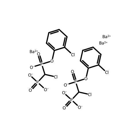 O=P([O-])([O-])C(Cl)P(=O)([O-])Oc1ccccc1Cl.O=P([O-])([O-])C(Cl)P(=O)([O-])Oc1ccccc1Cl.[Ba+2].[Ba+2].[Ba+2]